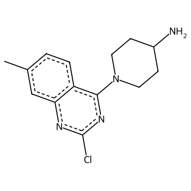 Cc1ccc2c(N3CCC(N)CC3)nc(Cl)nc2c1